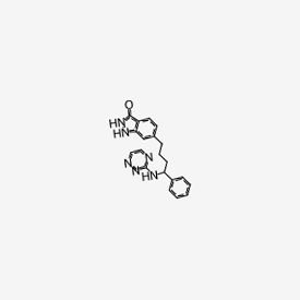 O=c1[nH][nH]c2cc(CCCC(Nc3nccnn3)c3ccccc3)ccc12